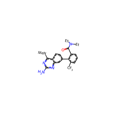 CCN(CC)C(=O)c1cccc(C(F)(F)F)c1-c1ccc2c(NC)nc(N)nc2c1